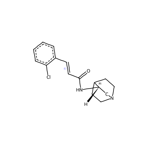 O=C(/C=C/c1ccccc1Cl)N[C@H]1CN2CCC1CC2